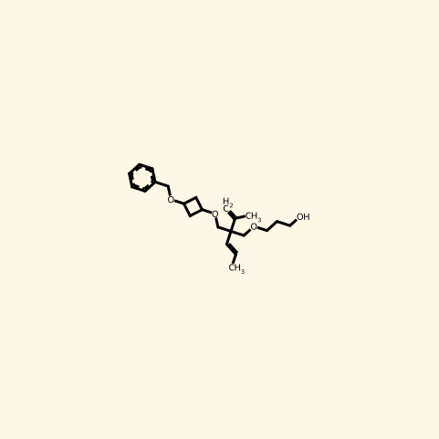 C=C(C)C(/C=C/C)(COCCCO)COC1CC(OCc2ccccc2)C1